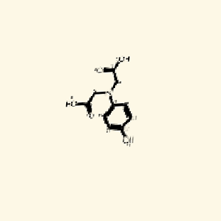 O=C(O)CN(CC(=O)O)c1ccc(O)cc1